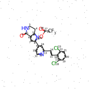 O=C1NCCc2c1cc(-c1ccnc(C=Cc3c(Cl)cccc3Cl)c1)n2OC(=O)C(F)(F)F